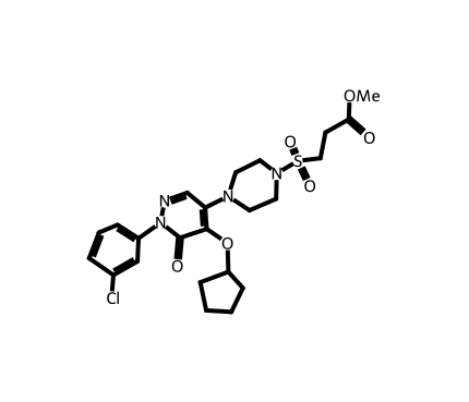 COC(=O)CCS(=O)(=O)N1CCN(c2cnn(-c3cccc(Cl)c3)c(=O)c2OC2CCCC2)CC1